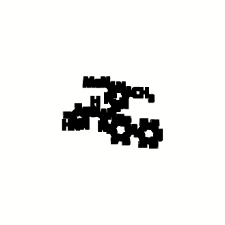 CNc1nc(C)nc(-n2c(Nc3cc[nH]n3)nc3ccc(-c4ccncc4)cc32)n1